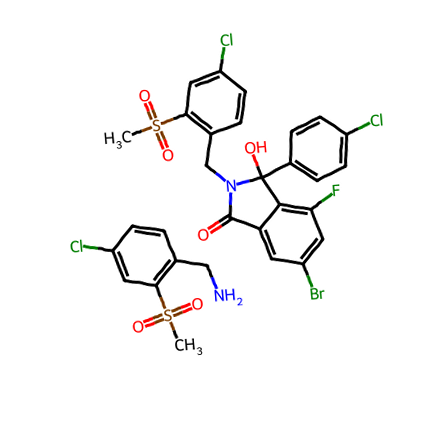 CS(=O)(=O)c1cc(Cl)ccc1CN.CS(=O)(=O)c1cc(Cl)ccc1CN1C(=O)c2cc(Br)cc(F)c2C1(O)c1ccc(Cl)cc1